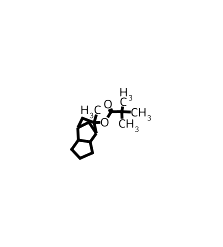 CC(C)(C)C(=O)OC1(C)CC2CC1C1CCCC21